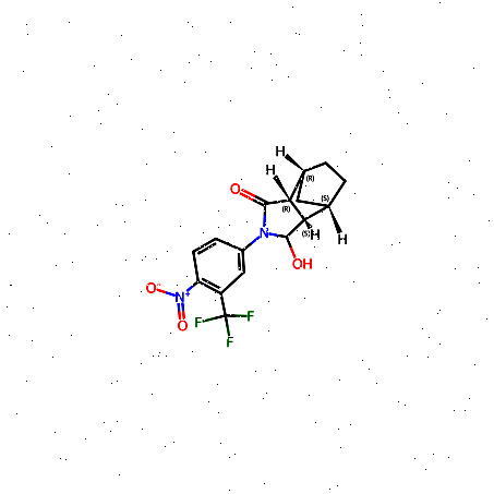 O=C1[C@@H]2[C@@H]3CC[C@@H](C3)[C@@H]2C(O)N1c1ccc([N+](=O)[O-])c(C(F)(F)F)c1